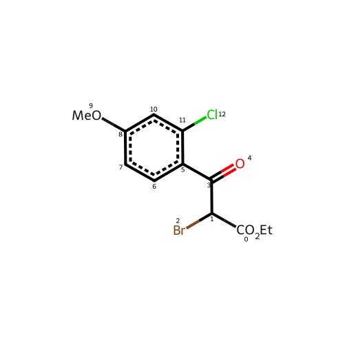 CCOC(=O)C(Br)C(=O)c1ccc(OC)cc1Cl